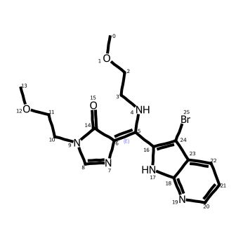 COCCN/C(=C1/N=CN(CCOC)C1=O)c1[nH]c2ncccc2c1Br